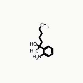 CCCCCC(C)(O)c1ccccc1N